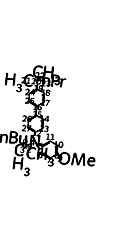 CCCCC(C)(C)N(c1ccc(OC)cc1)c1ccc(-c2ccc(C(C)(C)CCC)cc2)cc1